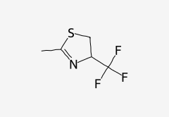 CC1=NC(C(F)(F)F)CS1